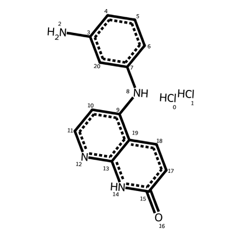 Cl.Cl.Nc1cccc(Nc2ccnc3[nH]c(=O)ccc23)c1